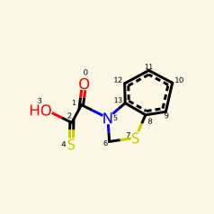 O=C(C(O)=S)N1CSc2ccccc21